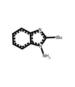 CC(C)(C)c1nc2ccccc2n1N